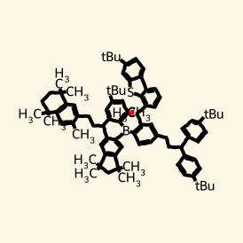 Cc1cc2c(cc1CCC1c3cc4c(cc3B(c3ccc(CCC(c5ccc(C(C)(C)C)cc5)c5ccc(C(C)(C)C)cc5)cc3C(C)c3cccc5c3sc3cc(C(C)(C)C)ccc35)c3c(C)cc(C(C)(C)C)cc31)C(C)(C)CC4(C)C)C(C)(C)CCC2(C)C